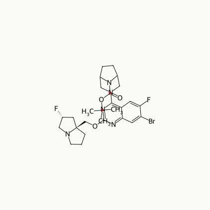 CC(C)(C)OC(=O)N1C2CCC1CN(c1nc(OC[C@@]34CCCN3C[C@H](F)C4)nc3cc(Br)c(F)cc13)C2